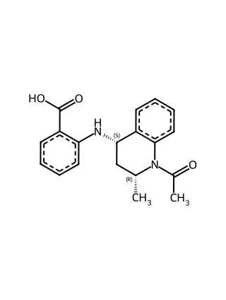 CC(=O)N1c2ccccc2[C@@H](Nc2ccccc2C(=O)O)C[C@H]1C